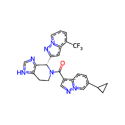 O=C(c1cnn2cc(C3CC3)ccc12)N1CCc2[nH]cnc2[C@@H]1c1cc2c(C(F)(F)F)cccn2n1